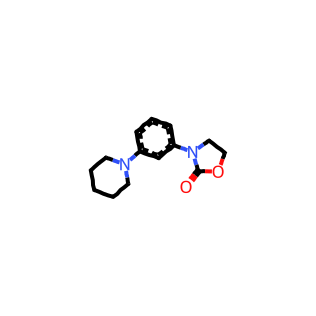 O=C1OCCN1c1cccc(N2CCCCC2)c1